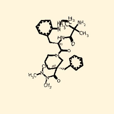 C=CNc1ccccc1C[C@@H](NC(=O)C(C)(C)N)C(=O)N1CCC[C@](Cc2ccccc2)(C(=O)N(C)N(C)C)C1